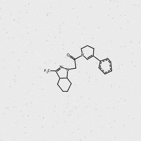 O=C(CN1N=C(C(F)(F)F)C2CCCCC21)N1C=C(c2ccccc2)CCC1